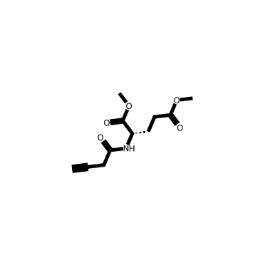 C#CCC(=O)N[C@@H](CCC(=O)OC)C(=O)OC